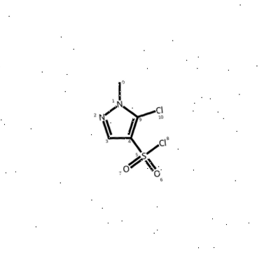 Cn1ncc(S(=O)(=O)Cl)c1Cl